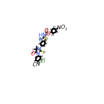 CC1(C)C(=O)N(c2ccc(C#N)c(Cl)c2)C(=S)N1c1ccc2sc(NC(=O)Oc3ccc([N+](=O)[O-])cc3)nc2c1